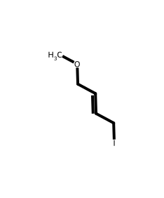 COC/C=C/CI